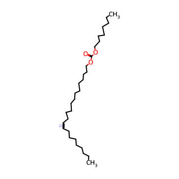 CCCCCCCC/C=C\CCCCCCCCCCCCOC(=O)OCCCCCCCC